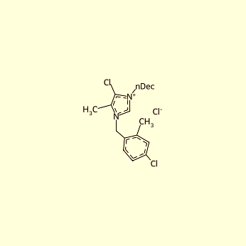 CCCCCCCCCC[n+]1cn(Cc2ccc(Cl)cc2C)c(C)c1Cl.[Cl-]